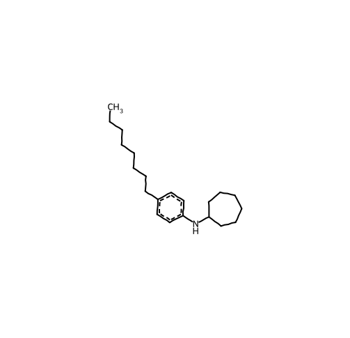 CCCCCCCCc1ccc(NC2CCCCCC2)cc1